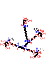 CC(=O)NC1C(OCCOCCNC(=O)CCC(NC(=O)CCC(NC(=O)CCCCCCCCCNC(=O)[C@H]2C[C@@H](O)[C@H](CO)O2)C(=O)NCCOCCOC2O[C@H](CO)C(O)C(O)C2NC(C)=O)C(=O)NCCOCCOC2OC(CO)C(O)C(O)C2NC(C)=O)OC(CO)C(O)C1O